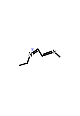 CC/N=C\C=NC